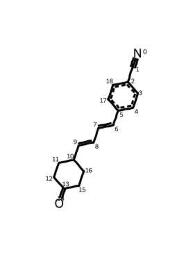 N#Cc1ccc(C=CC=CC2CCC(=O)CC2)cc1